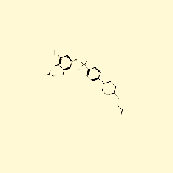 CCCCC1CCC(c2ccc(C(F)(F)Oc3cc(F)c(OC(F)F)c(F)c3)cc2)CC1